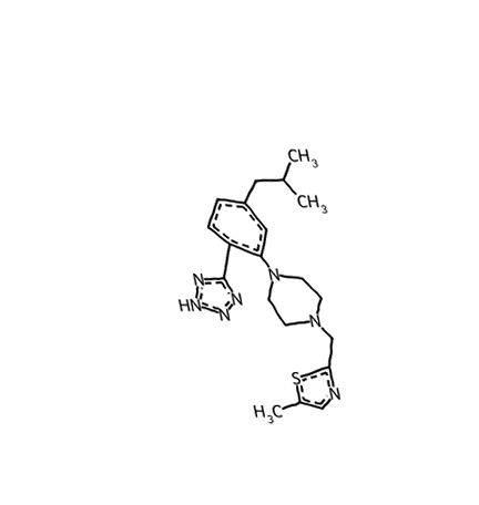 Cc1cnc(CN2CCN(c3cc(CC(C)C)ccc3-c3nn[nH]n3)CC2)s1